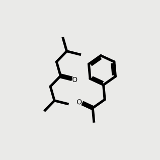 CC(=O)Cc1ccccc1.CC(C)CC(=O)CC(C)C